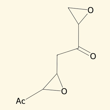 CC(=O)C1OC1CC(=O)C1CO1